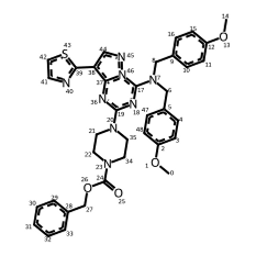 COc1ccc(CN(Cc2ccc(OC)cc2)c2nc(N3CCN(C(=O)OCc4ccccc4)CC3)nc3c(-c4nccs4)cnn23)cc1